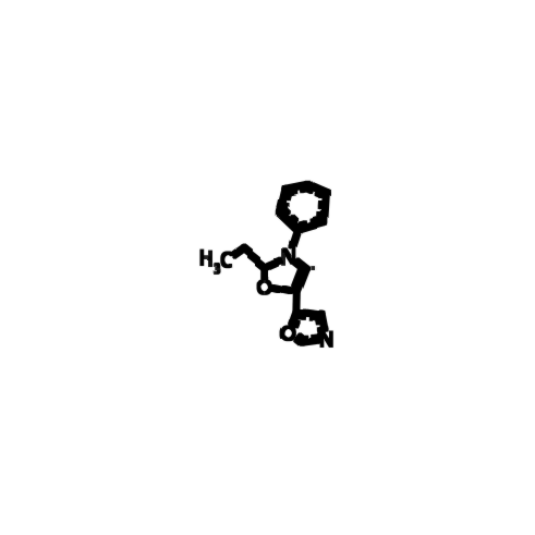 CCC1OC(c2cnco2)=[C]N1c1ccccc1